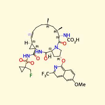 COc1ccc2c(O[C@@H]3C[C@H]4C(=O)N[C@]5(C(=O)NS(=O)(=O)C6(CF)CC6)C[C@H]5/C=C\CC[C@@H](C)C[C@@H](C)[C@H](NC(=O)O)C(=O)N4C3)nc(C(F)(F)F)cc2c1